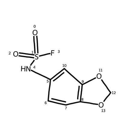 O=S(=O)(F)Nc1ccc2c(c1)OCO2